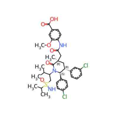 COc1cc(C(=O)O)ccc1NC(=O)C[C@@]1(C)C[C@H](c2cccc(Cl)c2)[C@@H](c2ccc(Cl)cc2)N(C(CS(=N)(=O)C(C)C)C(C)C)C1=O